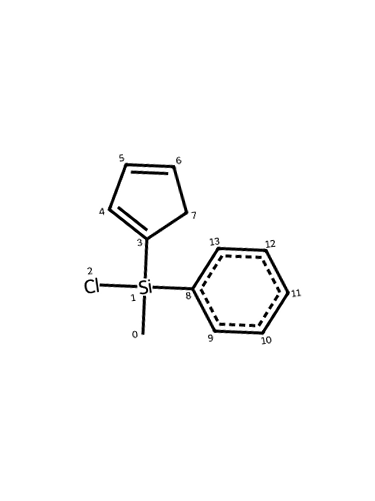 C[Si](Cl)(C1=CC=CC1)c1ccccc1